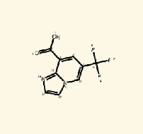 O=C(O)c1cc(C(F)(F)F)cn2ccnc12